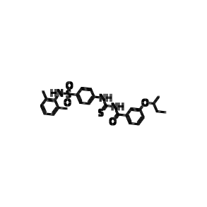 CCC(C)Oc1cccc(C(=O)NC(=S)Nc2ccc(S(=O)(=O)Nc3c(C)cccc3C)cc2)c1